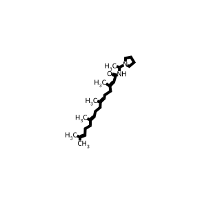 CC(C)=CCC/C(C)=C/CC/C(C)=C/CC/C(C)=C/C(=O)NC(C)N1CCCC1